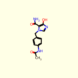 CC(=O)Nc1ccc(Cn2cnc(O)c2C(N)=O)cc1